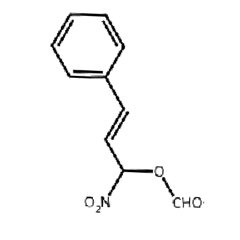 O=[C]OC(C=Cc1ccccc1)[N+](=O)[O-]